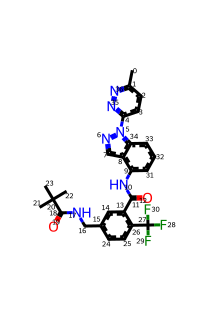 Cc1ccc(-n2ncc3c(NC(=O)c4cc(CNC(=O)C(C)(C)C)ccc4C(F)(F)F)cccc32)nn1